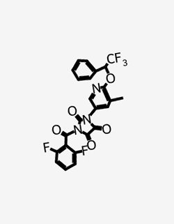 Cc1cc(N2C(=O)C(=O)N(C(=O)c3c(F)cccc3F)C2=O)cnc1OC(c1ccccc1)C(F)(F)F